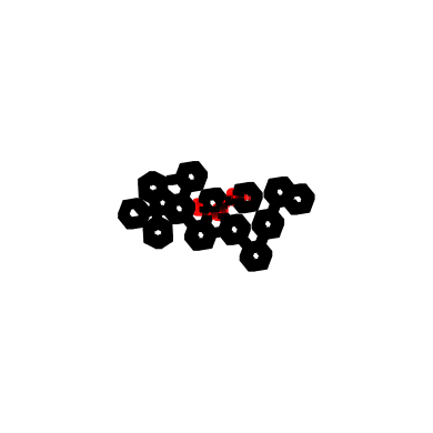 Cc1ccccc1-c1cc(-c2cccc(-c3cc(-c4ccccc4-c4ccc(-c5cccc6ccccc56)cc4)ccc3-c3ccccc3O)c2C(=O)OCc2ccccc2)cc2c1-c1ccccc1C2(C1=CCCC=C1)c1ccccc1